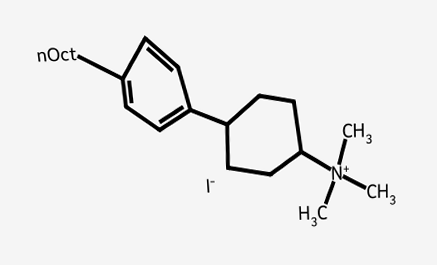 CCCCCCCCc1ccc(C2CCC([N+](C)(C)C)CC2)cc1.[I-]